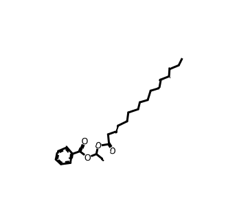 CCCCCCCCCCCCCCCC(=O)OC(C)OC(=O)c1ccccc1